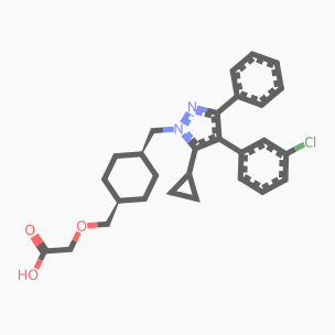 O=C(O)COC[C@H]1CC[C@@H](Cn2nc(-c3ccccc3)c(-c3cccc(Cl)c3)c2C2CC2)CC1